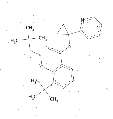 CC(C)(C)CCOc1c(C(=O)NC2(c3ccccn3)CC2)cccc1C(C)(C)C